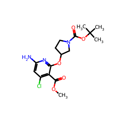 COC(=O)c1c(Cl)cc(N)nc1OC1CCN(C(=O)OC(C)(C)C)C1